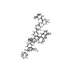 CC1(C)CCC(CN2CCN(c3ccc(C(=O)NS(=O)(=O)c4ccc(NC[C@H]5COCCO5)c([N+](=O)[O-])c4)c(N4CCCOc5nc6[nH]ccc6cc54)c3)CC2)=C(C2=CC=NC(=O)C2)C1